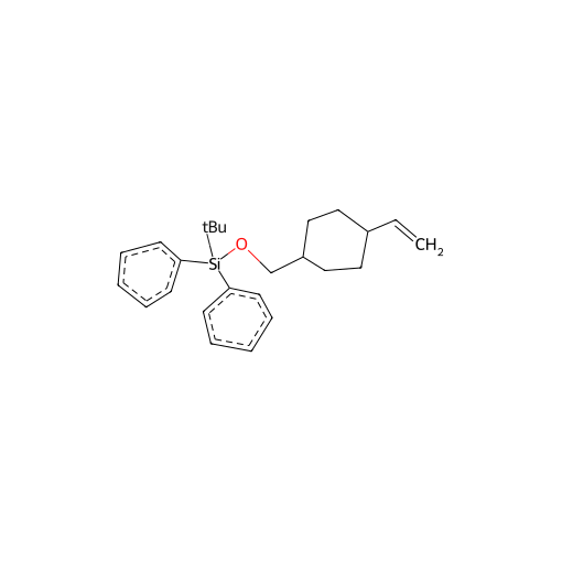 C=CC1CCC(CO[Si](c2ccccc2)(c2ccccc2)C(C)(C)C)CC1